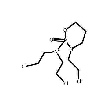 O=P1([N+](CCCl)CCCl)OCCCN1CCCl